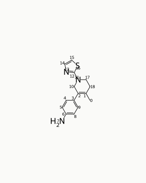 CC1=C(c2ccc(N)cc2)CN(c2nccs2)CC1